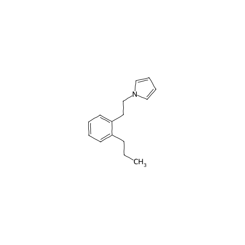 CCCc1ccccc1CCn1cccc1